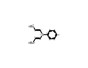 CCCCC=C[Si](C=CCCCC)c1ccccc1